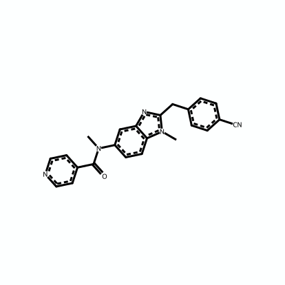 CN(C(=O)c1ccncc1)c1ccc2c(c1)nc(Cc1ccc(C#N)cc1)n2C